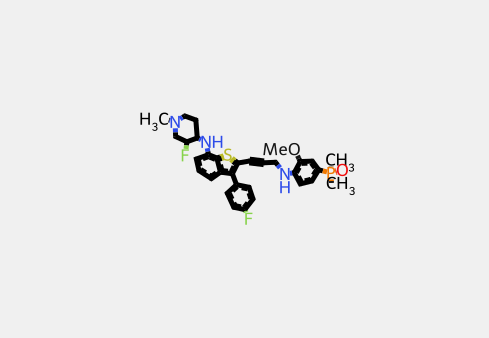 COc1cc(P(C)(C)=O)ccc1NCC#Cc1sc2c(NC3CCN(C)CC3F)cccc2c1-c1ccc(F)cc1